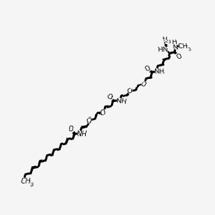 CCCCCCCCCCCCCCCC(=O)NCCOCCOCCC(=O)NCCOCCOCCC(=O)NCCCCC(NC)C(=O)NC